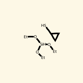 CCO[SiH](OCC)OCC.SC1CC1